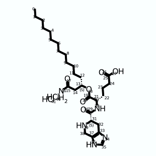 CCCCCCCCCCCCC[C@@H](CC(N)=O)OC(=O)[C@H](CCCC(=O)O)NC(=O)[C@@H]1Cc2nc[nH]c2CN1.Cl.Cl